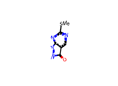 CSc1ncc2c(n1)N=NC2=O